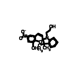 CC1(C)c2ccccc2N(CCO)C12C=Cc1cc([N+](=O)[O-])cc(O)c1O2